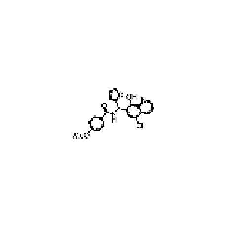 COc1ccc(C(=O)NC(c2ccco2)c2cc(Cl)c3cccnc3c2O)cc1